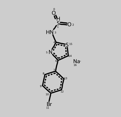 O=[SH](=O)Nc1nc(-c2ccc(Br)cc2)cs1.[Na]